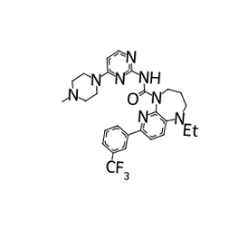 CCN1CCCN(C(=O)Nc2nccc(N3CCN(C)CC3)n2)c2nc(-c3cccc(C(F)(F)F)c3)ccc21